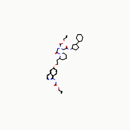 C=CCOC(=O)Nc1nccc2cc(OCCC3CCCCN3C(=O)[C@H](C)N(CC(=O)NC3CCC(C4CCCCC4)C3)C(=O)OCC=C)ccc12